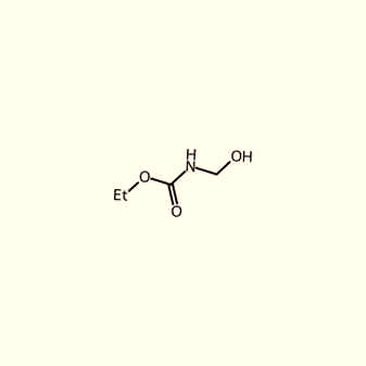 CCOC(=O)NCO